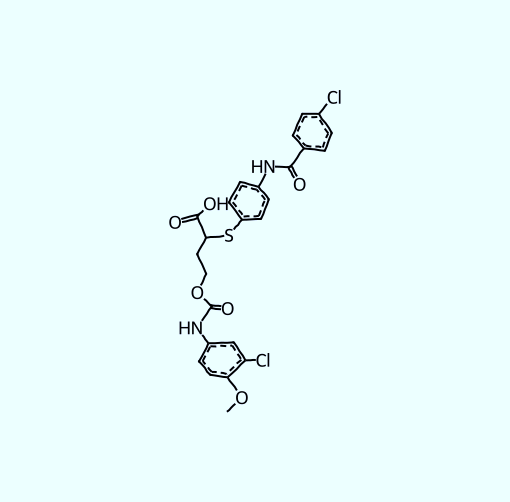 COc1ccc(NC(=O)OCCC(Sc2ccc(NC(=O)c3ccc(Cl)cc3)cc2)C(=O)O)cc1Cl